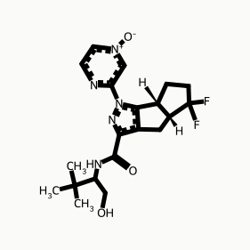 CC(C)(C)C(CO)NC(=O)c1nn(-c2c[n+]([O-])ccn2)c2c1C[C@@H]1[C@H]2CCC1(F)F